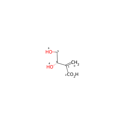 C=C(C(=O)O)[C@H](O)CO